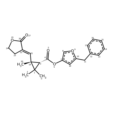 CC1(C)[C@@H](C(=O)Oc2coc(Cc3ccccc3)c2)[C@@]1(C)C=C1CCOC1=O